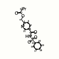 CC(C)C(=O)OCc1ccc(C(=O)NS(=O)(=O)c2ccccc2)cn1